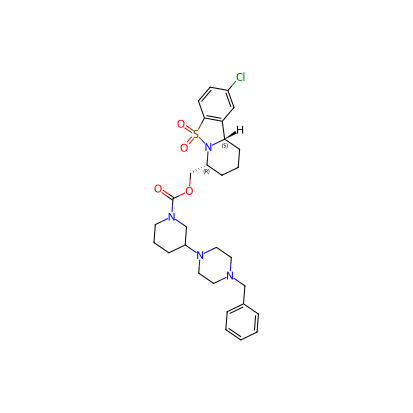 O=C(OC[C@H]1CCC[C@H]2c3cc(Cl)ccc3S(=O)(=O)N12)N1CCCC(N2CCN(Cc3ccccc3)CC2)C1